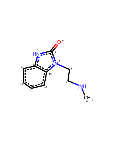 CNCCn1c(=O)[nH]c2ccccc21